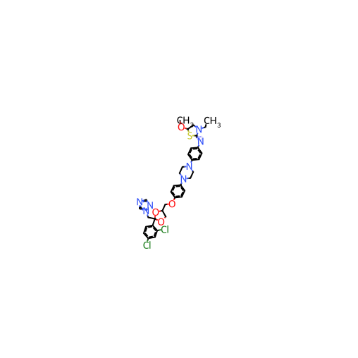 CCN1CC(OC)S/C1=N\c1ccc(N2CCN(c3ccc(OCC4COC(Cn5cncn5)(c5ccc(Cl)cc5Cl)O4)cc3)CC2)cc1